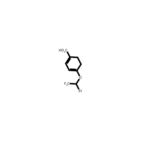 CCC(OC1=CC=C(C(=O)O)CC1)C(F)(F)F